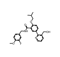 COc1ccc(CNC(=O)c2cc(-c3ncccc3CO)ccc2OCC(C)C)cc1F